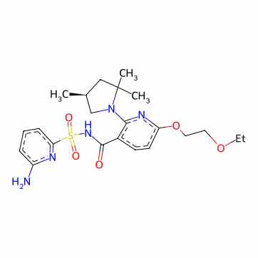 CCOCCOc1ccc(C(=O)NS(=O)(=O)c2cccc(N)n2)c(N2C[C@@H](C)CC2(C)C)n1